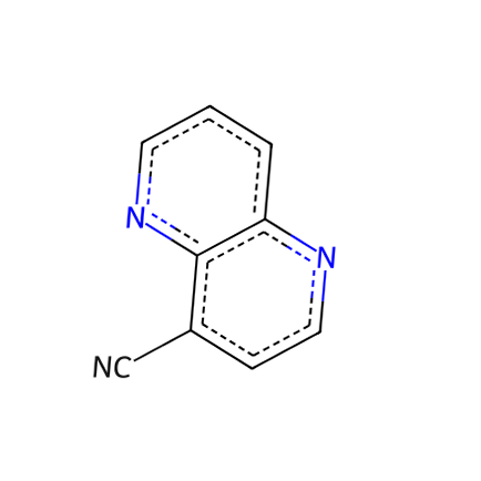 N#Cc1ccnc2cccnc12